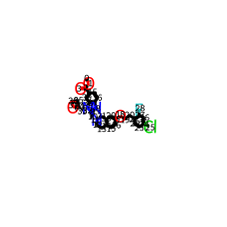 COC(=O)c1ccc2nc(CN3CCc4ccc(OCCc5ccc(Cl)cc5F)cc4C3)n(C[C@@H]3CCO3)c2c1